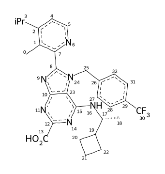 Cc1c(C(C)C)ccnc1-c1nc2nc(C(=O)O)nc(N[C@H](C)C3CCC3)c2n1Cc1ccc(C(F)(F)F)cc1